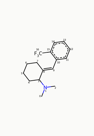 CN(C)C1CCCCC1=Cc1ccccc1C(F)(F)F